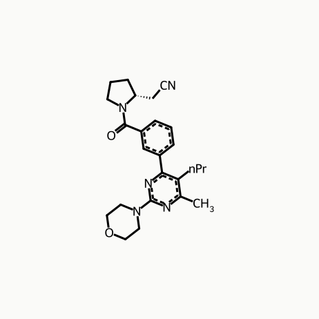 CCCc1c(C)nc(N2CCOCC2)nc1-c1cccc(C(=O)N2CCC[C@@H]2CC#N)c1